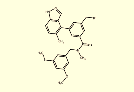 COc1cc(CN(C)C(=O)c2cc(CBr)cc(-c3c(C)ccc4[nH]ncc34)c2)cc(OC)c1